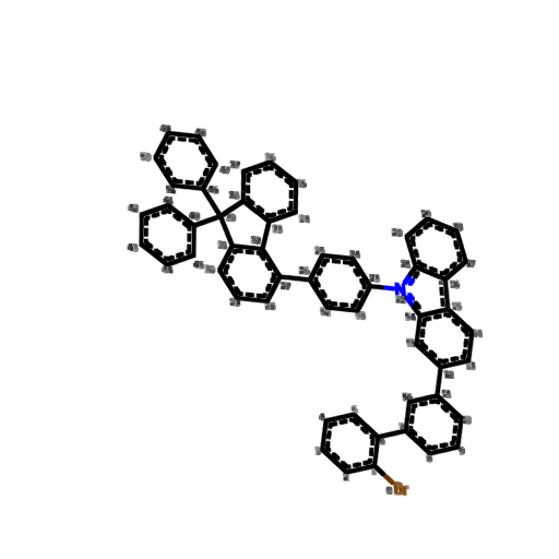 Brc1ccccc1-c1cccc(-c2ccc3c4ccccc4n(-c4ccc(-c5cccc6c5-c5ccccc5C6(c5ccccc5)c5ccccc5)cc4)c3c2)c1